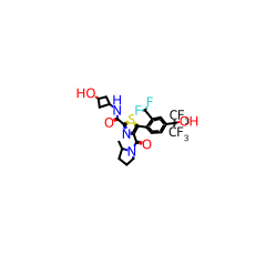 CC1CCCN1C(=O)c1nc(C(=O)NC2CC(O)C2)sc1-c1ccc(C(O)(C(F)(F)F)C(F)(F)F)cc1C(F)F